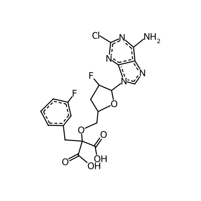 Nc1nc(Cl)nc2c1ncn2C1OC(COC(Cc2cccc(F)c2)(C(=O)O)C(=O)O)CC1F